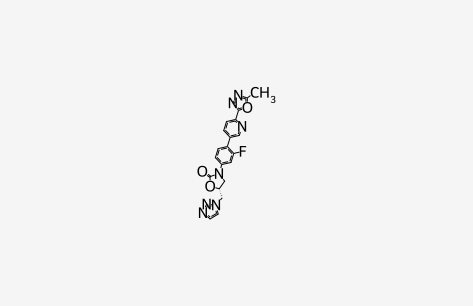 Cc1nnc(-c2ccc(-c3ccc(N4C[C@H](Cn5ccnn5)OC4=O)cc3F)cn2)o1